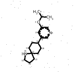 CC(C)Oc1cncc(C2CCC3(CCCN3)CC2)c1